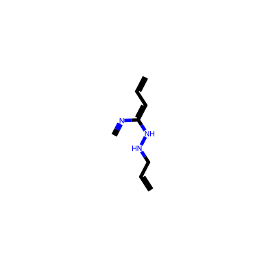 C=C/C=C(\N=C)NNCC=C